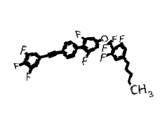 CCCCCc1cc(F)c(C(F)(F)Oc2cc(F)c(-c3ccc(C#Cc4cc(F)c(F)c(F)c4)cc3)c(F)c2)c(F)c1